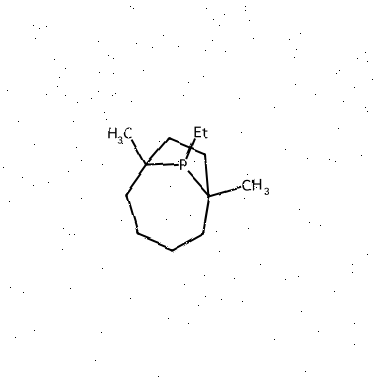 CCP1C2(C)CCCCC1(C)CC2